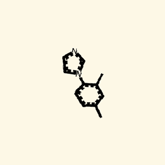 Cc1ccc(-n2ccnc2)c(C)c1